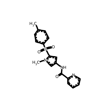 Cc1ccc(S(=O)(=O)c2cc(NC(=O)c3ccccn3)cn2C)cc1